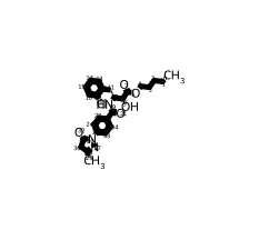 CCCCCOC(=O)[C@H](O)[C@@H](Cc1ccccc1Cl)NC(=O)c1ccc(N2N=C(C)CC2=O)cc1